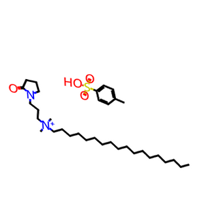 CCCCCCCCCCCCCCCCCC[N+](C)(C)CCCN1CCCC1=O.Cc1ccc(S(=O)(=O)O)cc1